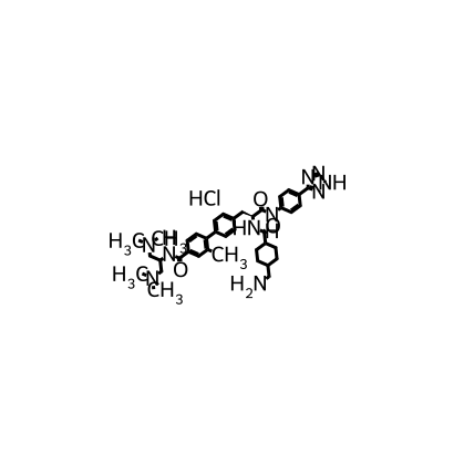 Cc1cc(C(=O)NC(CN(C)C)CN(C)C)ccc1-c1ccc(C[C@H](NC(=O)C2CCC(CN)CC2)C(=O)Nc2ccc(-c3nn[nH]n3)cc2)cc1.Cl